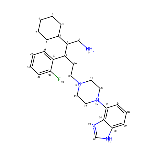 NCC(C1CCCCC1)C(CCN1CCN(c2cccc3[nH]cnc23)CC1)c1ccccc1F